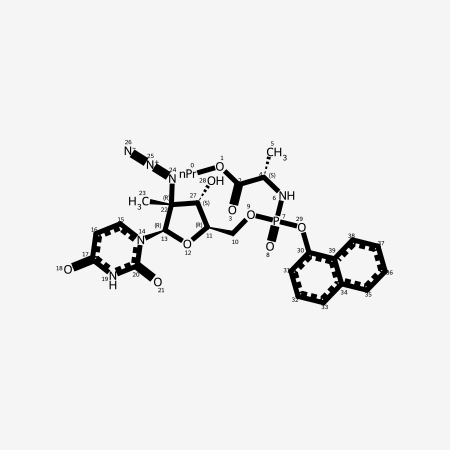 CCCOC(=O)[C@H](C)NP(=O)(OC[C@H]1O[C@@H](n2ccc(=O)[nH]c2=O)[C@](C)(N=[N+]=[N-])[C@@H]1O)Oc1cccc2ccccc12